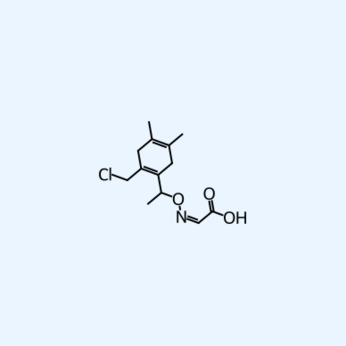 CC1=C(C)CC(C(C)O/N=C\C(=O)O)=C(CCl)C1